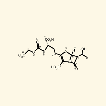 CC(O)[C@H]1C(=O)N2C(C(=O)O)=C(SC[C@H](NC(=O)OCC(Cl)(Cl)Cl)C(=O)O)S[C@H]12